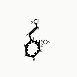 ClC=Cc1ccccc1.O